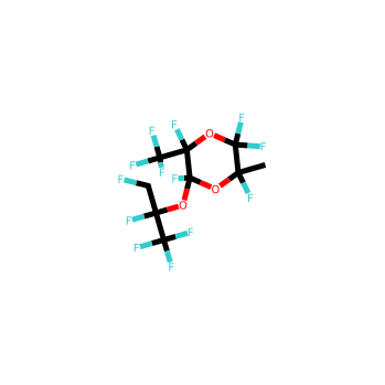 CC1(F)OC(F)(OC(F)(CF)C(F)(F)F)C(F)(C(F)(F)F)OC1(F)F